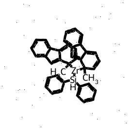 C[C]1([Zr]([SiH](c2ccccc2)c2ccccc2)[C]2(C)C=CC=C3C2=Cc2ccccc23)C=CC=C2C1=Cc1ccccc12